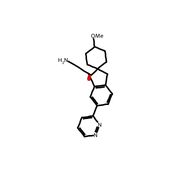 COC1CCC2(CC1)Cc1ccc(-c3cccnn3)cc1C21COC(N)=N1